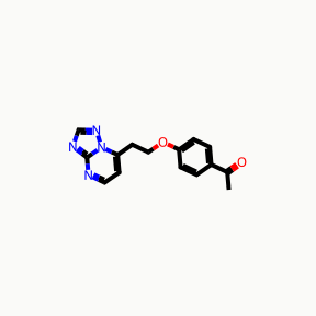 CC(=O)c1ccc(OCCc2ccnc3ncnn23)cc1